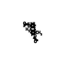 Cc1c(OCC2CO2)cccc1Sc1cccc(OCC2CO2)c1C